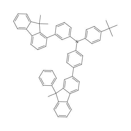 CC(C)(C)c1ccc(N(c2ccc(-c3ccc4c(c3)C(C)(c3ccccc3)c3ccccc3-4)cc2)c2cccc(-c3cccc4c3C(C)(C)c3ccccc3-4)c2)cc1